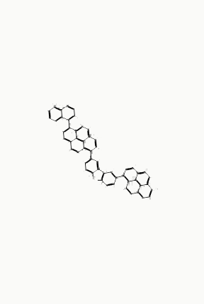 c1ccc2c(-c3ccc4ccc5c(-c6ccc7sc8ccc(-c9ccc%10ccc%11cccc%12ccc9c%10c%11%12)cc8c7c6)ccc6ccc3c4c65)cccc2c1